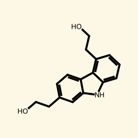 OCCc1ccc2c(c1)[nH]c1cccc(CCO)c12